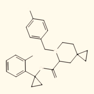 O=C(O)c1ccccc1C1(NC(=O)C2CC3(CCN2Cc2ccc(C(F)(F)F)cc2)CC3)CC1